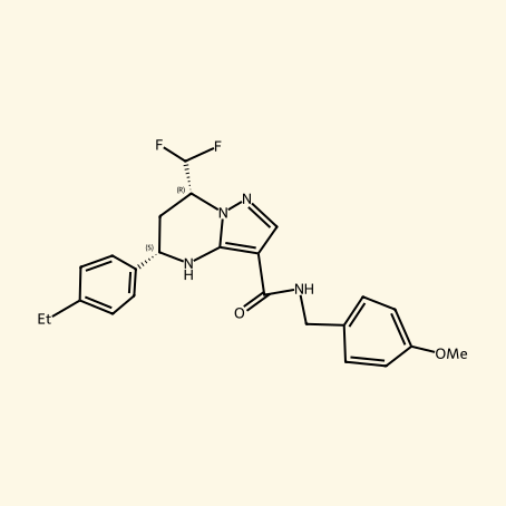 CCc1ccc([C@@H]2C[C@H](C(F)F)n3ncc(C(=O)NCc4ccc(OC)cc4)c3N2)cc1